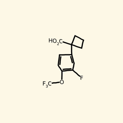 O=C(O)C1(c2ccc(OC(F)(F)F)c(F)c2)CCC1